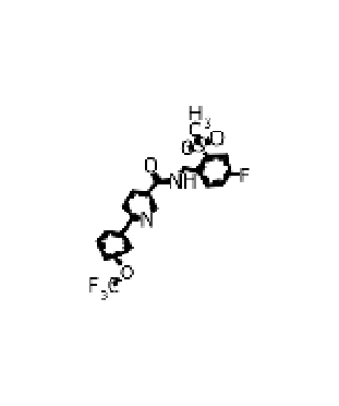 CS(=O)(=O)c1cc(F)ccc1CNC(=O)c1ccc(-c2cccc(OC(F)(F)F)c2)nc1